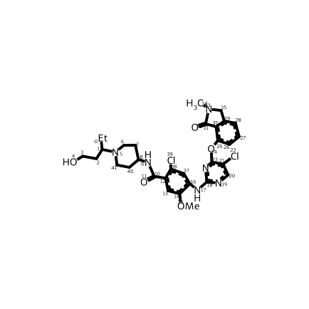 CCC(CCO)N1CCC(NC(=O)c2cc(OC)c(Nc3ncc(Cl)c(Oc4cccc5c4C(=O)N(C)C5)n3)cc2Cl)CC1